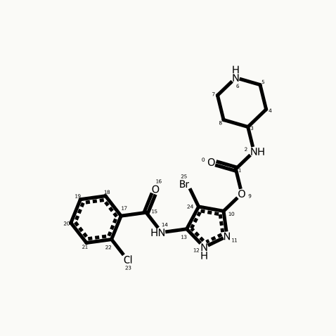 O=C(NC1CCNCC1)Oc1n[nH]c(NC(=O)c2ccccc2Cl)c1Br